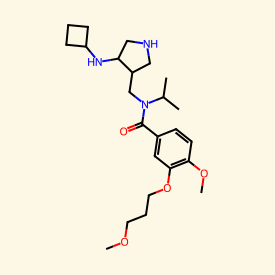 COCCCOc1cc(C(=O)N(CC2CNCC2NC2CCC2)C(C)C)ccc1OC